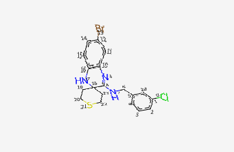 Clc1cccc(CNC2=Nc3cc(Br)ccc3NC23CCSCC3)c1